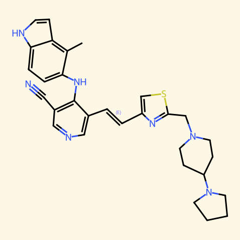 Cc1c(Nc2c(C#N)cncc2/C=C/c2csc(CN3CCC(N4CCCC4)CC3)n2)ccc2[nH]ccc12